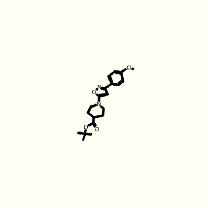 COc1ccc(-c2cc(N3CCC(C(=O)OC(C)(C)C)CC3)on2)cc1